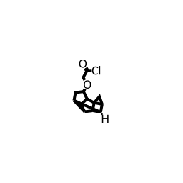 O=C(Cl)COC1CC23C4C1C15CC1[C@H]2C5C43